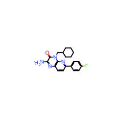 Nc1nc2ccc(-c3ccc(F)cc3)nc2n(CC2CCCCC2)c1=O